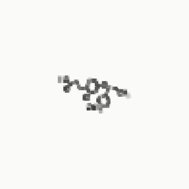 CCC(Oc1ccc(CCC(=O)O)c(Cl)c1)c1ccccc1.[CaH2]